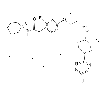 CC1(NC(=O)Cc2ccc(OCC[C@@H]3C[C@@H]3C3CCN(c4ncc(Cl)cn4)CC3)cc2F)CCCCC1